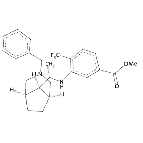 COC(=O)c1ccc(C(F)(F)F)c(N[C@@H](C)[C@H]2[C@@H]3CC[C@H]2CN(Cc2ccccc2)C3)c1